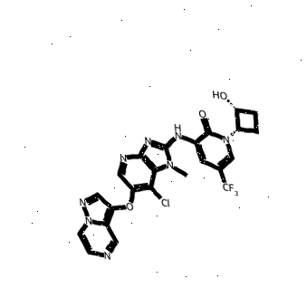 Cn1c(Nc2cc(C(F)(F)F)cn([C@H]3CC[C@H]3O)c2=O)nc2ncc(Oc3cnn4ccncc34)c(Cl)c21